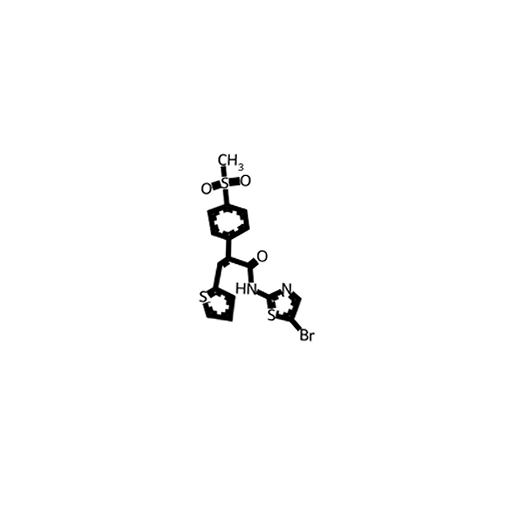 CS(=O)(=O)c1ccc(C(=Cc2cccs2)C(=O)Nc2ncc(Br)s2)cc1